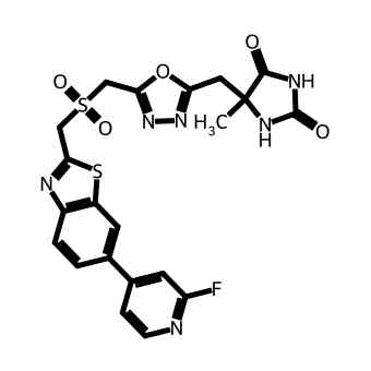 CC1(Cc2nnc(CS(=O)(=O)Cc3nc4ccc(-c5ccnc(F)c5)cc4s3)o2)NC(=O)NC1=O